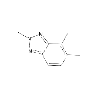 Cc1ccc2nn(C)nc2c1C